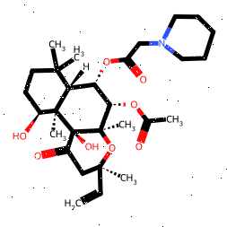 C=C[C@@]1(C)CC(=O)[C@]2(O)[C@@]3(C)[C@@H](O)CCC(C)(C)[C@@H]3[C@H](OC(=O)CN3CCCCC3)[C@H](OC(C)=O)[C@@]2(C)O1